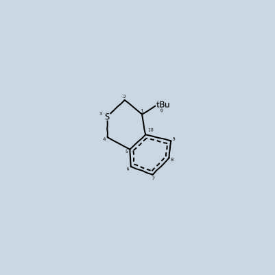 CC(C)(C)C1CSCc2ccccc21